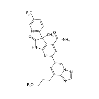 CC1(c2ccc(C(F)(F)F)cn2)C(=O)Nc2nc(-c3cn4ncnc4c(CCCC(F)(F)F)n3)nc(C(N)=O)c21